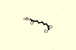 CCCCC1OC1CCCCCC1OC1CC